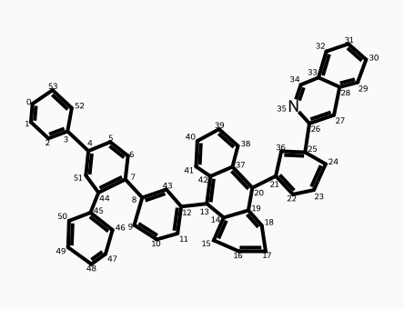 c1ccc(-c2ccc(-c3cccc(-c4c5ccccc5c(-c5cccc(-c6cc7ccccc7cn6)c5)c5ccccc45)c3)c(-c3ccccc3)c2)cc1